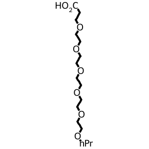 CCCOCCOCCOCCOCCOCCOCCC(=O)O